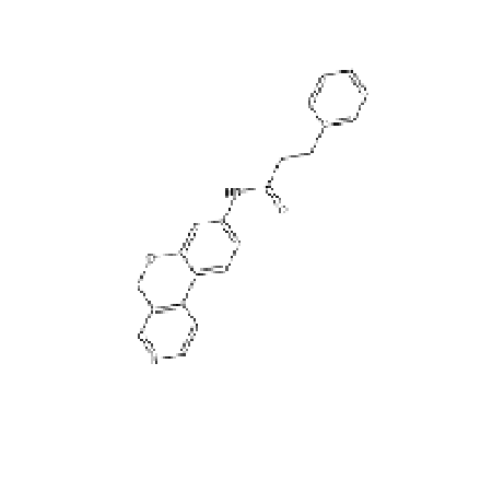 O=C(CCc1ccccc1)Nc1ccc2c(c1)OCc1cnccc1-2